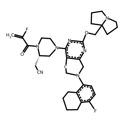 C=C(F)C(=O)N1CCN(c2nc(OCC34CCCN3CCC4)nc3c2CCN(c2ccc(F)c4c2CCCC4)C3)C[C@@H]1CC#N